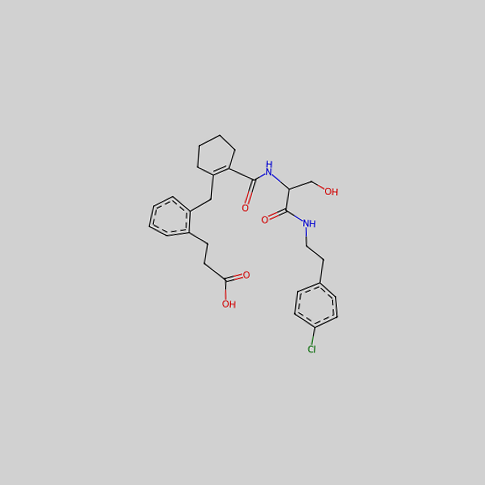 O=C(O)CCc1ccccc1CC1=C(C(=O)NC(CO)C(=O)NCCc2ccc(Cl)cc2)CCCC1